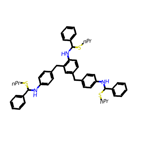 CCCSC(Nc1ccc(Cc2ccc(NC(SCCC)c3ccccc3)c(Cc3ccc(NC(SCCC)c4ccccc4)cc3)c2)cc1)c1ccccc1